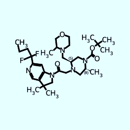 CCCC(F)(F)c1cc2c(cn1)C(C)(C)CN2C(=O)CN1C[C@@H](C)N(C(=O)OC(C)(C)C)C[C@@H]1CN1CCOCC1C